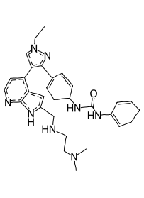 CCn1cc(-c2ccnc3[nH]c(CNCCN(C)C)cc23)c(C2=CCC(NC(=O)NC3=CCCC=C3)C=C2)n1